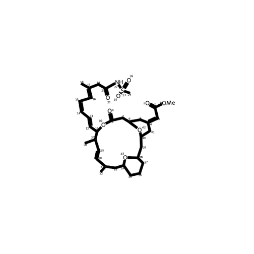 COC(=O)/C=C1\CC2CC(=O)OC(/C=C/C=C\C=C(/C)CC(=O)NS(C)(=O)=O)C(C)/C=C/C(C)CC3CCCC(CC(C1)O2)O3